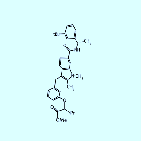 COC(=O)C(Oc1cccc(Cc2c(C)n(C)c3cc(C(=O)N[C@@H](C)c4cccc(C(C)(C)C)c4)ccc23)c1)C(C)C